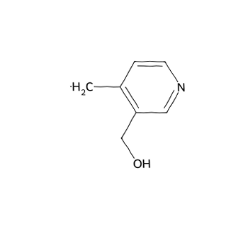 [CH2]c1ccncc1CO